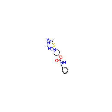 CCS/C(=N\C(C)N)N1CCC(OC(=O)NCc2ccccc2)CC1